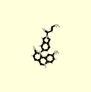 C/C=C/C(=O)n1cc2ccc(-n3c(=O)ccc4cnc5ccc(C)cc5c43)cc2c1